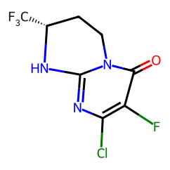 O=c1c(F)c(Cl)nc2n1CC[C@@H](C(F)(F)F)N2